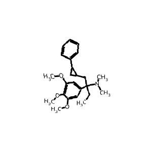 CCC(CC1CC1c1ccccc1)(c1cc(OC)c(OC)c(OC)c1)N(C)C